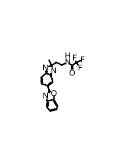 CC1(CCNC(=O)C(F)(F)F)N=c2ccc(-c3nc4ccccc4o3)cc2=N1